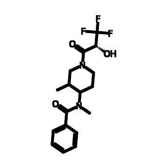 CC1CN(C(=O)[C@@H](O)C(F)(F)F)CCC1N(C)C(=O)c1ccccc1